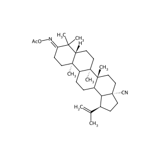 C=C(C)[C@@H]1CC[C@]2(C#N)CC[C@]3(C)C(CCC4[C@@]5(C)CC/C(=N\OC(C)=O)C(C)(C)[C@@H]5CC[C@]43C)C12